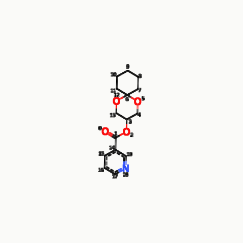 O=C(OC1COC2(CCCCC2)OC1)c1cccnc1